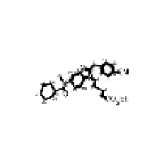 CCOC(=O)CCCCn1c(Cc2ccc(C#N)cc2)nc2cc(N(C)C(=O)C3CCCCC3)ccc21